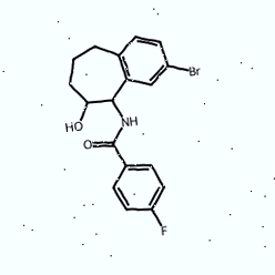 O=C(NC1c2cc(Br)ccc2CCCC1O)c1ccc(F)cc1